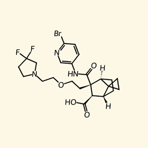 O=C(O)[C@@H]1[C@H]2CC[C@@H](C23CC3)[C@@]1(CCOCCN1CCC(F)(F)C1)C(=O)Nc1ccc(Br)nc1